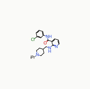 CC(C)N1CCC(CNc2ncccc2C(=O)Nc2cccc(Cl)c2)CC1